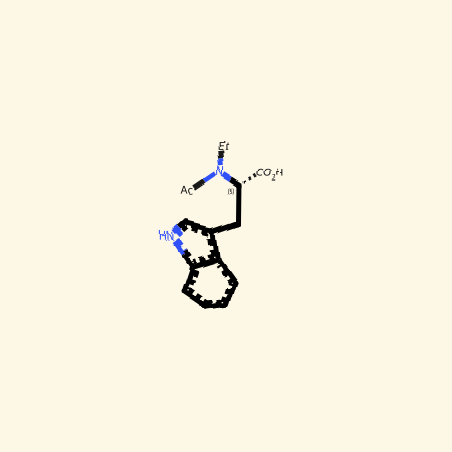 CCN(C(C)=O)[C@@H](Cc1c[nH]c2ccccc12)C(=O)O